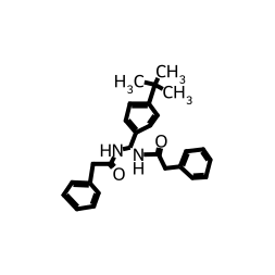 CC(C)(C)c1ccc(C(NC(=O)Cc2ccccc2)NC(=O)Cc2ccccc2)cc1